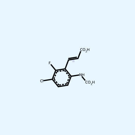 O=C(O)/C=C/c1c(NC(=O)O)ccc(Cl)c1F